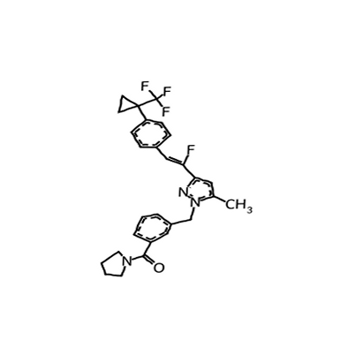 Cc1cc(/C(F)=C/c2ccc(C3(C(F)(F)F)CC3)cc2)nn1Cc1cccc(C(=O)N2CCCC2)c1